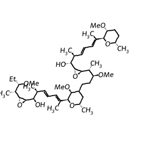 CC[C@H](OC)[C@@H](C)[C@H]1O[C@@H]1[C@H](O)[C@@H](C)/C=C/C=C(\C)[C@@H]1O[C@@H](C)CC(CC[C@H](OC)[C@@H](C)[C@H]2O[C@@H]2[C@H](O)[C@@H](C)/C=C/C=C(\C)[C@@H]2O[C@@H](C)CC[C@H]2OC)[C@@H]1OC